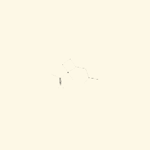 CC(=O)C1(C)CCC1CC(C)C